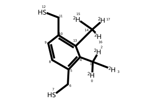 [2H]C([2H])([2H])c1c(CS)ccc(CS)c1C([2H])([2H])[2H]